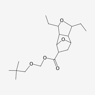 CCC1OC(CC)C2C3OC(CC3C(=O)OCOCC(C)(C)C)C12